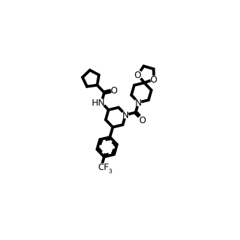 O=C(NC1CC(c2ccc(C(F)(F)F)cc2)CN(C(=O)N2CCC3(CC2)OCCO3)C1)C1CCCC1